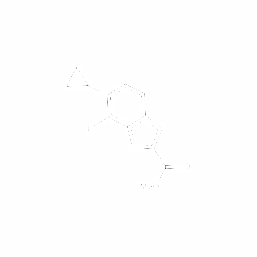 COC(=O)c1cc2ccc(C3CC3)c(F)c2s1